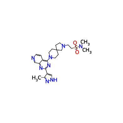 Cc1n[nH]cc1-c1nc(N2CCC3(CCN(CCS(=O)(=O)N(C)C)C3)CC2)c2ccncc2n1